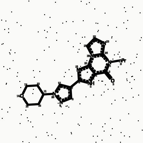 CCCn1c(=O)c2[nH]c(-c3cnn(C4CCOCC4)c3)nc2n2ccnc12